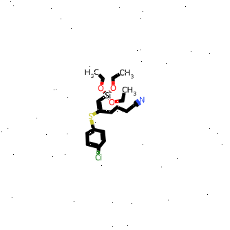 CCO[Si](/C=C(\CCCC#N)Sc1ccc(Cl)cc1)(OCC)OCC